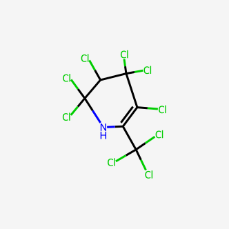 ClC1=C(C(Cl)(Cl)Cl)NC(Cl)(Cl)C(Cl)C1(Cl)Cl